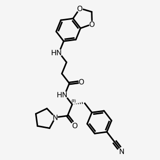 N#Cc1ccc(C[C@@H](NC(=O)CCNc2ccc3c(c2)OCO3)C(=O)N2CCCC2)cc1